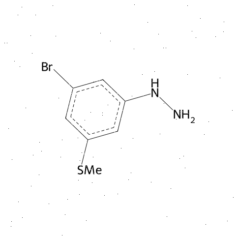 CSc1cc(Br)cc(NN)c1